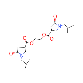 CC(C)CN1CC(C(=O)OCCOC(=O)C2CC(=O)N(CC(C)C)C2)CC1=O